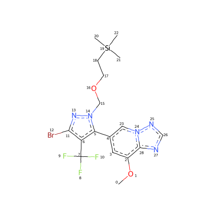 COc1cc(-c2c(C(F)(F)F)c(Br)nn2COCC[Si](C)(C)C)cn2ncnc12